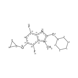 Cn1c(OC2CCCCC2)nc2c(F)cc(OC3CC3)c(F)c21